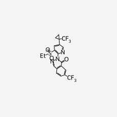 CCS(=O)(=O)c1cc(C2(C(F)(F)F)CC2)cnc1-n1ncc2ccc(C(F)(F)F)cc2c1=O